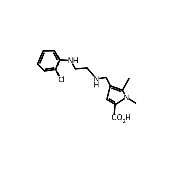 Cc1c(CNCCNc2ccccc2Cl)cc(C(=O)O)n1C